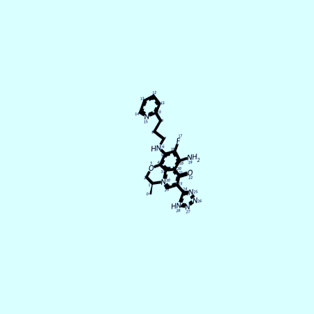 C[C@H]1COc2c(NCCCc3ccccn3)c(F)c(N)c3c(=O)c(-c4nnn[nH]4)cn1c23